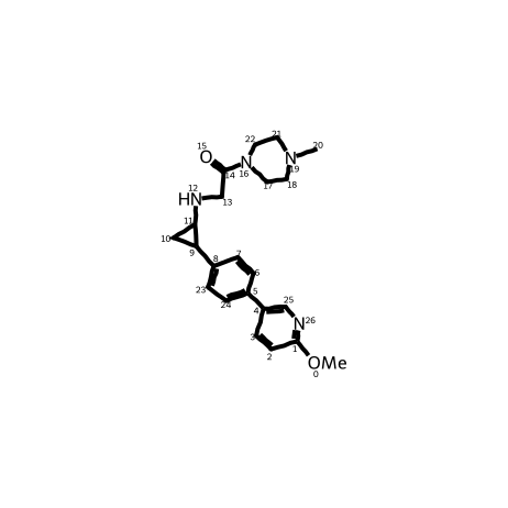 COc1ccc(-c2ccc(C3CC3NCC(=O)N3CCN(C)CC3)cc2)cn1